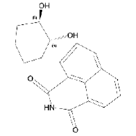 O=C1NC(=O)c2cccc3cccc1c23.O[C@@H]1CCCC[C@H]1O